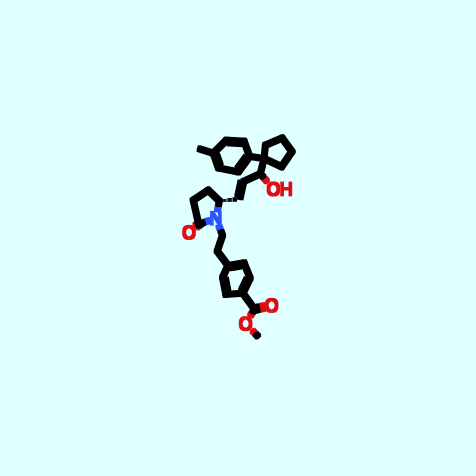 COC(=O)c1ccc(CCN2C(=O)CC[C@@H]2/C=C/C(O)C2(c3ccc(C)cc3)CCCC2)cc1